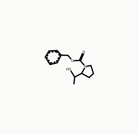 CC(O)C1CCCN1C(=O)OCc1ccccc1